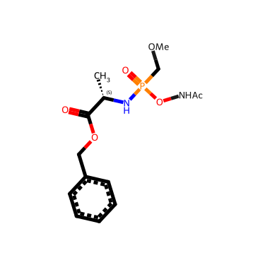 COCP(=O)(N[C@@H](C)C(=O)OCc1ccccc1)ONC(C)=O